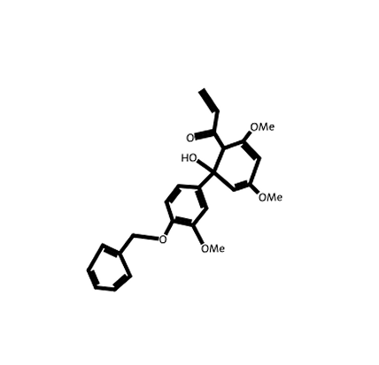 C=CC(=O)C1C(OC)=CC(OC)=CC1(O)c1ccc(OCc2ccccc2)c(OC)c1